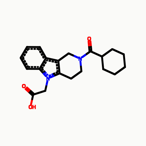 O=C(O)Cn1c2c(c3ccccc31)CN(C(=O)C1CCCCC1)CC2